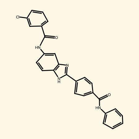 O=C(Nc1ccccc1)c1ccc(-c2nc3cc(NC(=O)c4cccc(Cl)c4)ccc3[nH]2)cc1